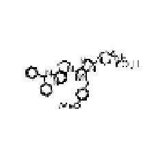 COc1ccc(Cn2nc(N3CCCc4c3ccnc4N=C(c3ccccc3)c3ccccc3)c3ncc(N4CCC(C)(NC(=O)O)CC4)nc32)cc1